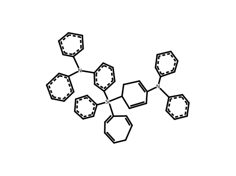 C1=CCC=CC([Si](c2ccccc2)(c2cccc(N(c3ccccc3)c3ccccc3)c2)C2C=CC(N(c3ccccc3)c3ccccc3)=CC2)=C1